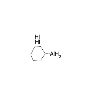 I.I.[AlH2][CH]1CCCCC1